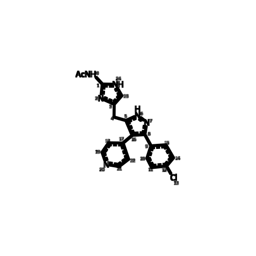 CC(=O)Nc1nc(Cc2[nH]nc(-c3ccc(Cl)cc3)c2-c2ccncc2)c[nH]1